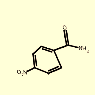 NC(=O)c1c[c]c([N+](=O)[O-])cc1